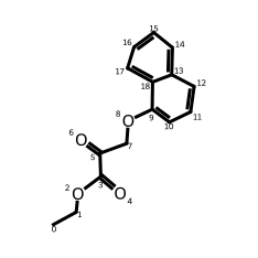 CCOC(=O)C(=O)COc1cccc2ccccc12